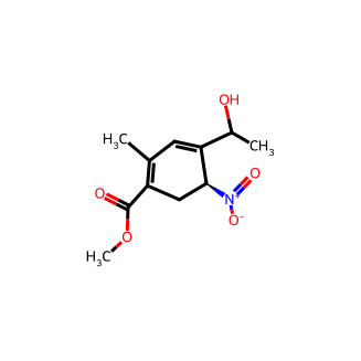 COC(=O)C1=C(C)C=C(C(C)O)[C@@H]([N+](=O)[O-])C1